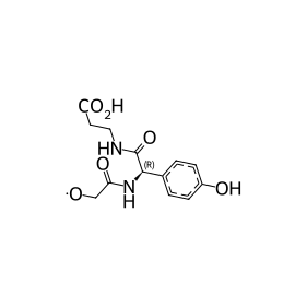 [O]CC(=O)N[C@@H](C(=O)NCCC(=O)O)c1ccc(O)cc1